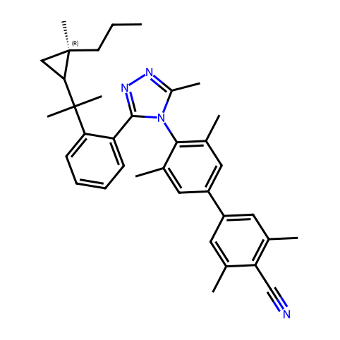 CCC[C@]1(C)CC1C(C)(C)c1ccccc1-c1nnc(C)n1-c1c(C)cc(-c2cc(C)c(C#N)c(C)c2)cc1C